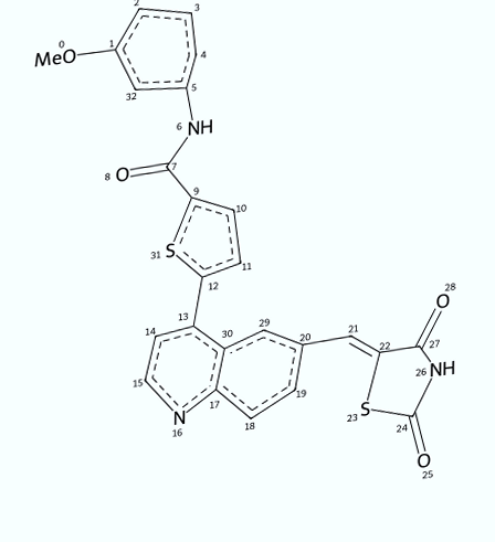 COc1cccc(NC(=O)c2ccc(-c3ccnc4ccc(/C=C5\SC(=O)NC5=O)cc34)s2)c1